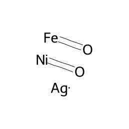 [Ag].[O]=[Fe].[O]=[Ni]